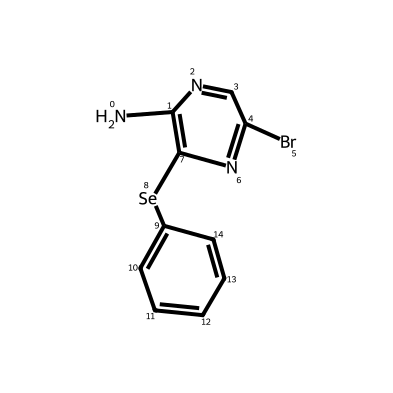 Nc1ncc(Br)nc1[Se]c1ccccc1